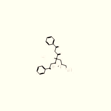 NCC(N)CC(C(=O)O)(C(=S)CC(=O)c1ccccc1)C(=S)CC(=O)c1ccccc1